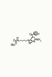 CCCN(OCC)C(=O)C1=Cc2c(cnn2CCCCCCNC(=O)OC(C)(C)C)N=C(N)C1